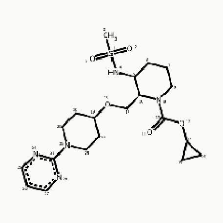 CS(=O)(=O)N[C@H]1CCCN(C(=O)OC2CC2)[C@H]1COC1CCN(c2ncccn2)CC1